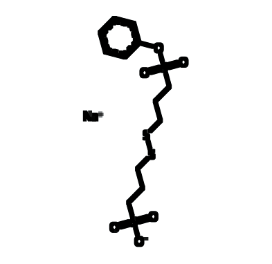 O=S(=O)([O-])CCCSSCCCS(=O)(=O)Oc1ccccc1.[Na+]